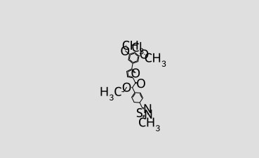 CCO[C@H](C(=O)c1ccc(-c2cc(OC)c(Cl)c(OC)c2)o1)C1=CCC(c2nnc(C)s2)C=C1